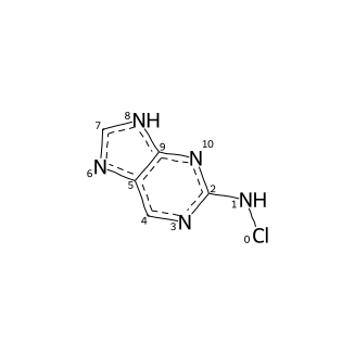 ClNc1ncc2nc[nH]c2n1